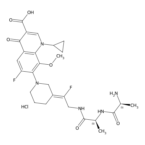 COc1c(N2CCCC(=C(F)CNC(=O)[C@H](C)NC(=O)[C@H](C)N)C2)c(F)cc2c(=O)c(C(=O)O)cn(C3CC3)c12.Cl